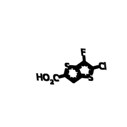 O=C(O)c1cc2sc(Cl)c(F)c2s1